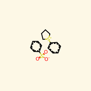 O=S(=O)([O-])c1ccccc1.c1ccc([S+]2CCCC2)cc1